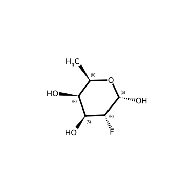 C[C@H]1O[C@H](O)[C@H](F)[C@@H](O)[C@H]1O